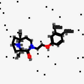 COc1ccc(OCCN2CC[C@H]3CC4C[C@H](C2=O)N43)cc1OC